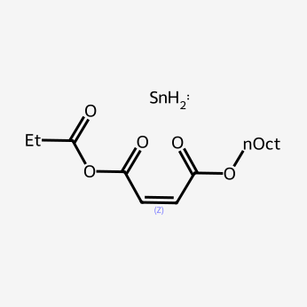 CCCCCCCCOC(=O)/C=C\C(=O)OC(=O)CC.[SnH2]